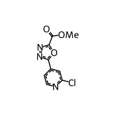 COC(=O)c1nnc(-c2ccnc(Cl)c2)o1